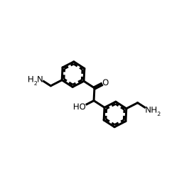 NCc1cccc(C(=O)C(O)c2cccc(CN)c2)c1